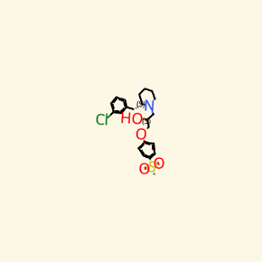 CS(=O)(=O)c1ccc(OC[C@@H](O)CN2CCCC[C@H]2Cc2cccc(Cl)c2)cc1